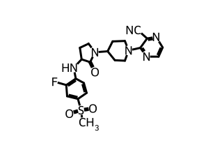 CS(=O)(=O)c1ccc(NC2CCN(C3CCN(c4nccnc4C#N)CC3)C2=O)c(F)c1